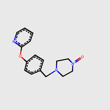 O=[N+]1CCN(Cc2ccc(Oc3ccccn3)cc2)CC1